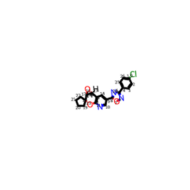 Clc1ccc(-c2noc(-c3cnc4c(c3)[C@@H]3O[C@@H]3C3(CCCC3)O4)n2)cc1